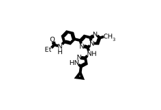 CCC(=O)Nc1cccc(-c2cc3nc(C)cn3c(Nc3cc(C4CC4)[nH]n3)n2)c1